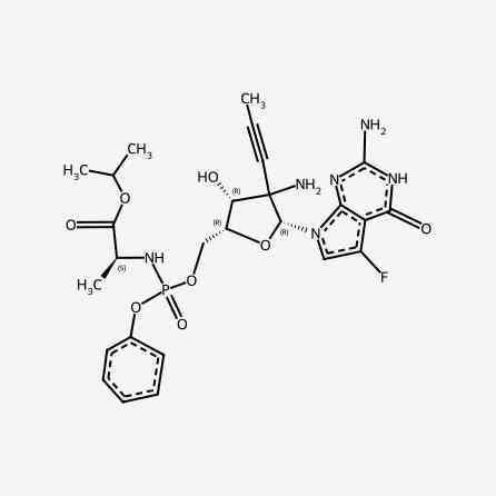 CC#CC1(N)[C@@H](O)[C@@H](COP(=O)(N[C@@H](C)C(=O)OC(C)C)Oc2ccccc2)O[C@H]1n1cc(F)c2c(=O)[nH]c(N)nc21